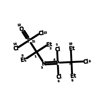 CCC(CC)(N=P(Cl)(Cl)C(Cl)(CC)CC)P(=O)(Cl)Cl